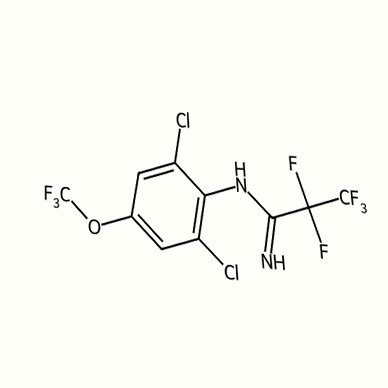 N=C(Nc1c(Cl)cc(OC(F)(F)F)cc1Cl)C(F)(F)C(F)(F)F